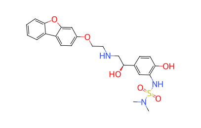 CN(C)S(=O)(=O)Nc1cc([C@@H](O)CNCCOc2ccc3c(c2)oc2ccccc23)ccc1O